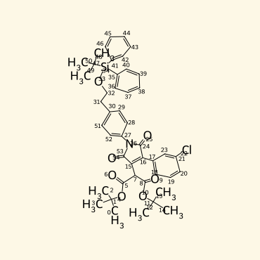 CC(C)(C)OC(=O)C(C(=O)OC(C)(C)C)C1=C(c2cccc(Cl)c2)C(=O)N(c2ccc(CCO[Si](c3ccccc3)(c3ccccc3)C(C)(C)C)cc2)C1=O